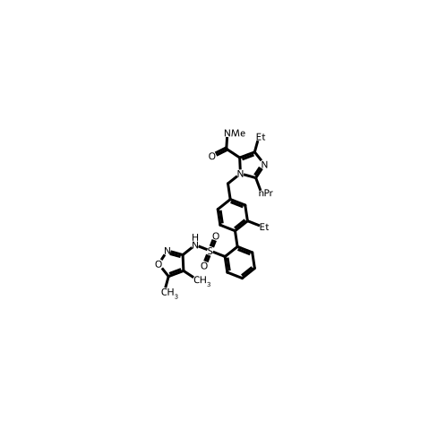 CCCc1nc(CC)c(C(=O)NC)n1Cc1ccc(-c2ccccc2S(=O)(=O)Nc2noc(C)c2C)c(CC)c1